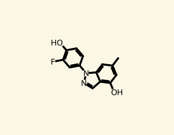 Cc1cc(O)c2cnn(-c3ccc(O)c(F)c3)c2c1